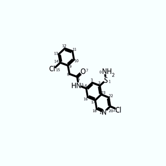 NSc1cc(NC(=O)Cc2ccccc2Cl)cc2cnc(Cl)cc12